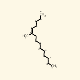 CCCCC=C(C)CCCCCCCCC